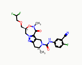 C[C@@H]1Cc2nn3c(c2CN1C(=O)Nc1ccc(F)c(C#N)c1)C(=O)N(C)O[C@H](COCC(F)F)C3